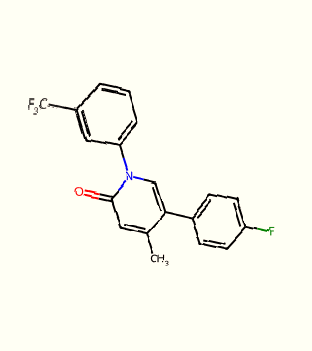 Cc1cc(=O)n(-c2cccc(C(F)(F)F)c2)cc1-c1ccc(F)cc1